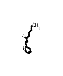 CCCCCC(=O)/C=C/c1ccccn1